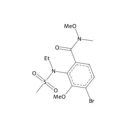 CCN(c1c(C(=O)N(C)OC)ccc(Br)c1OC)S(C)(=O)=O